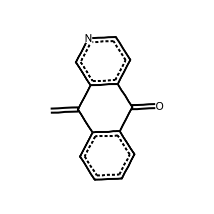 C=C1c2ccccc2C(=O)c2ccncc21